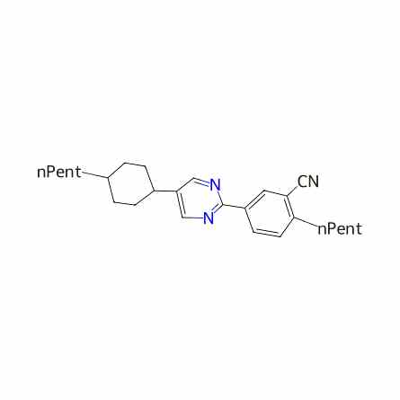 CCCCCc1ccc(-c2ncc(C3CCC(CCCCC)CC3)cn2)cc1C#N